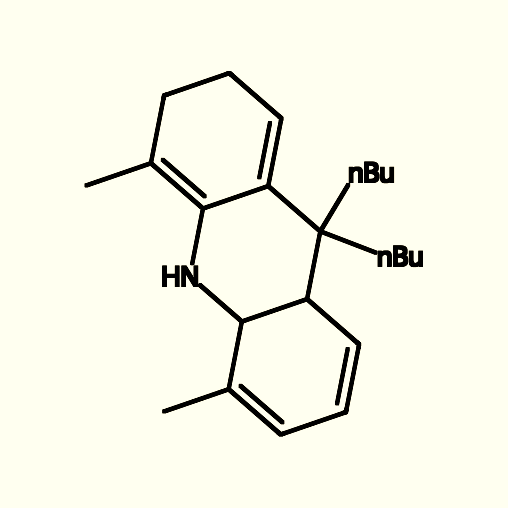 CCCCC1(CCCC)C2=CCCC(C)=C2NC2C(C)=CC=CC21